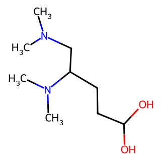 CN(C)CC(CCC(O)O)N(C)C